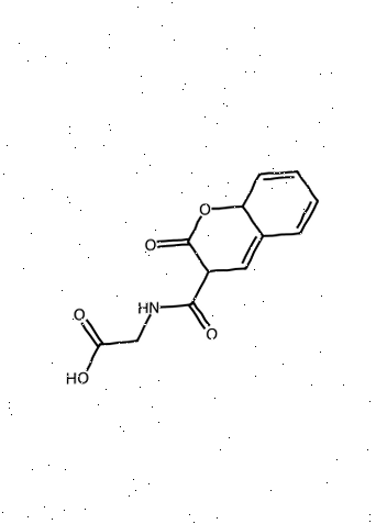 O=C(O)CNC(=O)C1C=C2C=CC=CC2OC1=O